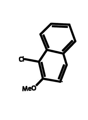 COc1[c]cc2ccccc2c1Cl